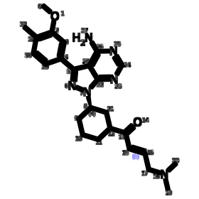 COc1cc(-c2nn([C@@H]3CCCC(C(=O)/C=C/CN(C)C)C3)c3ncnc(N)c23)ccc1C